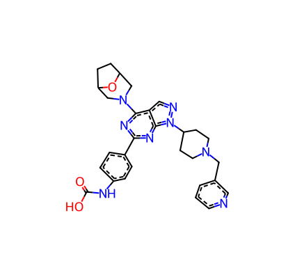 O=C(O)Nc1ccc(-c2nc(N3CC4CCC(C3)O4)c3cnn(C4CCN(Cc5cccnc5)CC4)c3n2)cc1